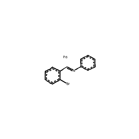 Brc1ccc[c]c1C=Nc1ccccc1.[Pd]